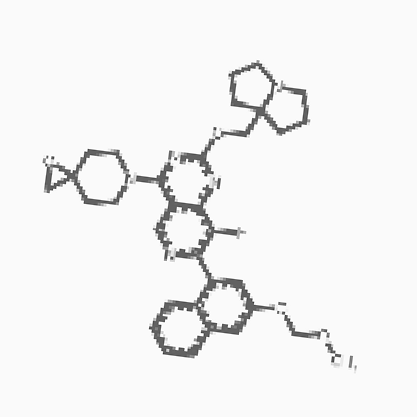 COCOc1cc(-c2ncc3c(N4CCC5(CC4)CO5)nc(OCC45CCCN4CCC5)nc3c2F)c2ccccc2c1